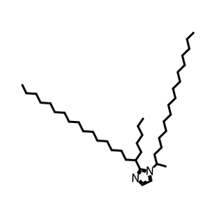 CCCCCCCCCCCCCCCCC(CCCCC)c1nccn1C(C)CCCCCCCCCCCCCCCC